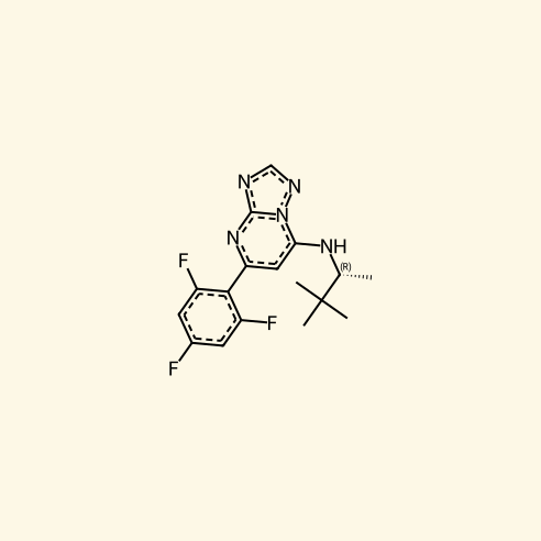 C[C@@H](Nc1cc(-c2c(F)cc(F)cc2F)nc2ncnn12)C(C)(C)C